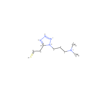 CN(C)CCCn1nnnc1C[C]=S